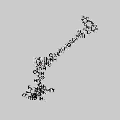 CCCC1O[C@@H]2CC3[C@@H]4C[C@H](F)C5=CC(=O)C=C[C@]5(C)[C@@]4(F)[C@@H](O)C[C@]3(C)[C@]2(C(=O)COCNC(=O)CNC(=O)[C@H](Cc2ccccc2)NC(=O)CNC(=O)CNC(=O)CCOCCOCCOCCOCCNC(=O)CCC(=O)N2Cc3ccccc3CCc3ccccc32)O1